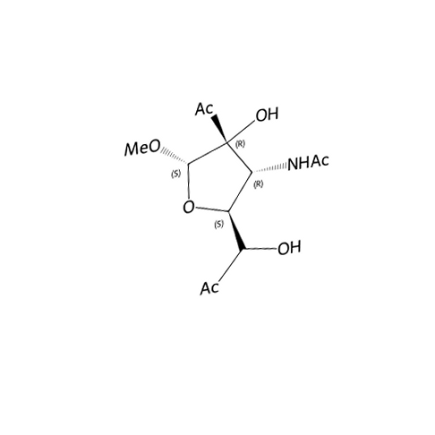 CO[C@H]1O[C@H](C(O)C(C)=O)[C@@H](NC(C)=O)[C@]1(O)C(C)=O